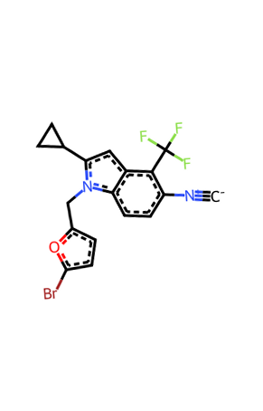 [C-]#[N+]c1ccc2c(cc(C3CC3)n2Cc2ccc(Br)o2)c1C(F)(F)F